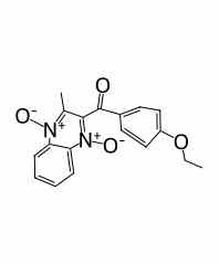 CCOc1ccc(C(=O)c2c(C)[n+]([O-])c3ccccc3[n+]2[O-])cc1